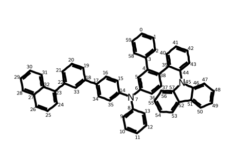 c1ccc(-c2cc(N(c3ccccc3)c3ccc(-c4cccc(-c5cccc6ccccc56)c4)cc3)ccc2-c2ccccc2-n2c3ccccc3c3ccccc32)cc1